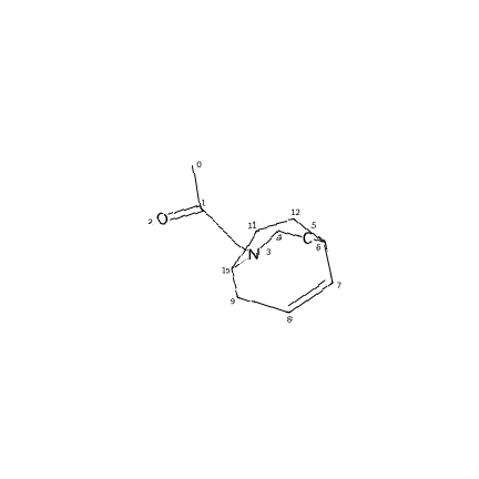 CC(=O)N1CCC2C=CCC1CC2